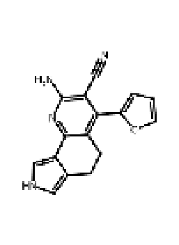 N#Cc1c(N)nc2c(c1-c1ccco1)CCc1c[nH]cc1-2